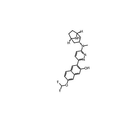 CN(c1ccc(-c2cc3ccc(OC(F)F)cc3cc2O)nn1)[C@@H]1C[C@H]2CC[C@@H](C1)N2